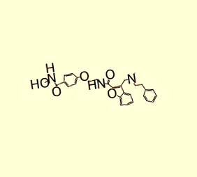 CN(CCc1ccccc1)Cc1c(C(=O)NCCOc2ccc(C(=O)NO)cc2)oc2ccccc12